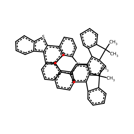 CC1(C)c2ccccc2-c2cc(-c3ccccc3-c3ccccc3N(c3ccccc3-c3ccc4sc5ccccc5c4c3)c3cccc4c3-c3ccccc3C4(C)C)ccc21